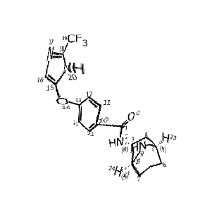 O=C(N[C@@H]1C[C@H]2CC[C@@H]1N2)c1ccc(Oc2cnc(C(F)(F)F)[nH]2)cc1